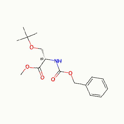 COC(=O)[C@H](COC(C)(C)C)NC(=O)OCc1ccccc1